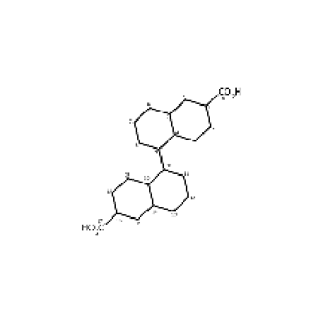 O=C(O)C1CCC2C(CCCC2C2CCCC3CC(C(=O)O)CCC32)C1